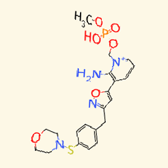 COP(=O)(O)OC[n+]1cccc(-c2cc(Cc3ccc(SN4CCOCC4)cc3)no2)c1N